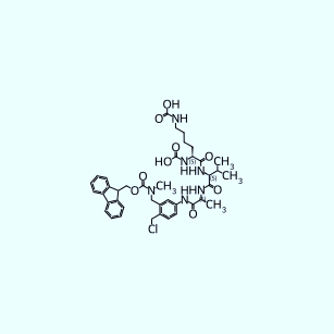 CC(C)[C@H](NC(=O)[C@H](CCCCNC(=O)O)NC(=O)O)C(=O)N[C@@H](C)C(=O)Nc1ccc(CCl)c(CN(C)C(=O)OCC2c3ccccc3-c3ccccc32)c1